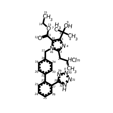 CCCc1nc(C(C)(C)O)c(C(=O)OCC)n1Cc1ccc(-c2ccccc2-c2nnn[nH]2)cc1.Cl